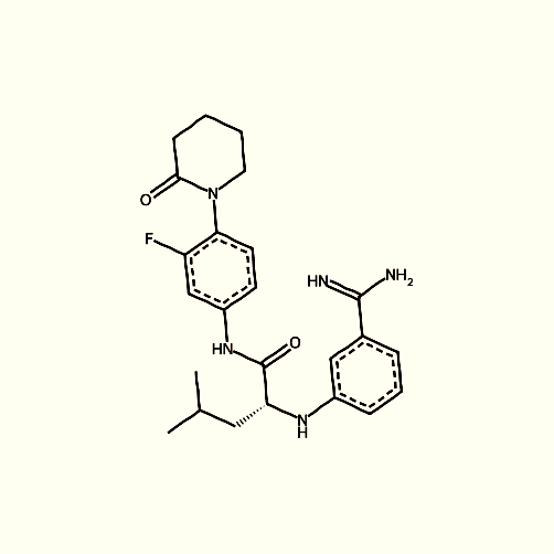 CC(C)C[C@@H](Nc1cccc(C(=N)N)c1)C(=O)Nc1ccc(N2CCCCC2=O)c(F)c1